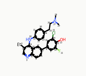 CCc1cnc2ccc(-c3cc(F)c(O)c(Cl)c3)cc2c1Nc1ccc(CCN(C)C)cc1